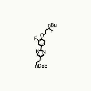 CCCCCCCCCCCCc1cnc(-c2ccc(OCCC(F)CCCC)c(F)c2)nc1